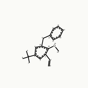 C=Cc1cc(C(C)(C)C)cc(Cc2ccccc2)c1OC